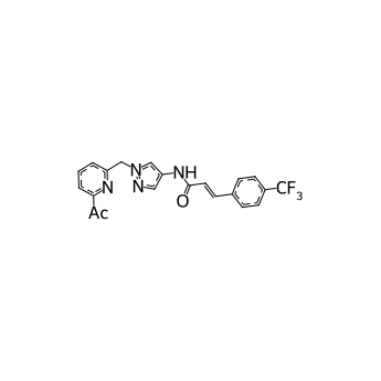 CC(=O)c1cccc(Cn2cc(NC(=O)C=Cc3ccc(C(F)(F)F)cc3)cn2)n1